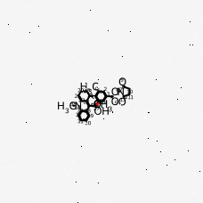 Cc1cc(C(=O)ON2C(=O)CCC2=O)cc(C)c1C1C=CC=C2C1=C(C(=O)O)c1ccccc1N2C